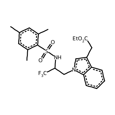 CCOC(=O)Cc1cn(CC(NS(=O)(=O)c2c(C)cc(C)cc2C)C(F)(F)F)c2ccccc12